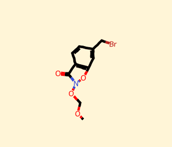 COCOn1oc2cc(CBr)ccc2c1=O